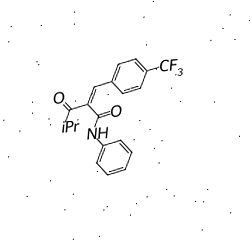 CC(C)C(=O)/C(=C/c1ccc(C(F)(F)F)cc1)C(=O)Nc1ccccc1